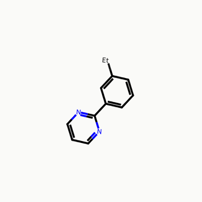 [CH2]Cc1cccc(-c2ncccn2)c1